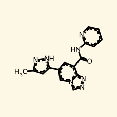 Cc1cc(-c2cc(C(=O)Nc3ccccn3)c3nncn3c2)[nH]n1